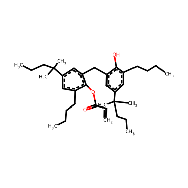 C=CC(=O)Oc1c(CCCC)cc(C(C)(C)CCC)cc1Cc1cc(C(C)(C)CCC)cc(CCCC)c1O